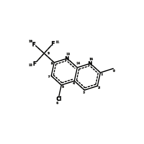 Cc1ccc2c(Cl)cc(C(F)(F)F)nc2n1